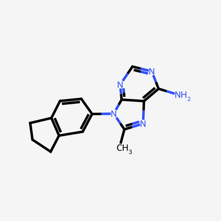 Cc1nc2c(N)ncnc2n1-c1ccc2c(c1)CCC2